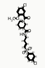 COc1ccc(Cl)cc1C(=O)N1CCC[C@H](C(=O)NCC/C=C/S(=O)(=O)c2ccc(Cl)cc2)C1